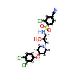 N#Cc1ccc(S(=O)(=O)NC[C@H](O)CN2CCC(Oc3ccc(Cl)c(Cl)c3)CC2)c(Cl)c1